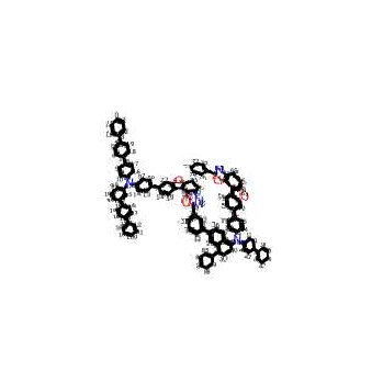 c1ccc(-c2ccc(-c3ccc(N(c4ccc(-c5ccc6c(c5)oc5ccc7nc(-c8cccc(-c9ccc%10c(N(c%11ccc(-c%12ccccc%12)cc%11)c%11ccc(-c%12ccc%13c(c%12)oc%12ccc%14nc(-c%15ccccc%15)oc%14c%12%13)cc%11)ccc(-c%11ccccc%11)c%10c9)c8)oc7c56)cc4)c4cccc(-c5ccc(-c6ccccc6)cc5)c4)cc3)cc2)cc1